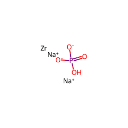 O=P([O-])([O-])O.[Na+].[Na+].[Zr]